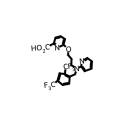 O=C(O)c1cccc(OCCCN(Cc2ccc(C(F)(F)F)cc2C(F)(F)F)c2ccccn2)n1